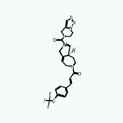 O=C(/C=C/c1ccc(OC(F)(F)F)cc1)N1CC=C2CN(C(=O)N3CCn4nncc4C3)C[C@H]2CC1